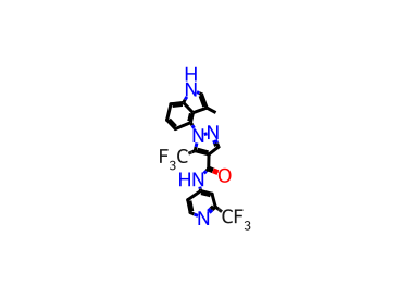 Cc1c[nH]c2cccc(-n3ncc(C(=O)Nc4ccnc(C(F)(F)F)c4)c3C(F)(F)F)c12